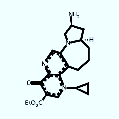 CCOC(=O)c1cn(C2CC2)c2c3c(cnc2c1=O)N1C[C@@H](N)C[C@H]1CCC3